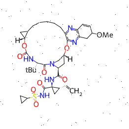 C=C[C@@H]1C[C@]1(NC(=O)[C@@H]1C[C@@H]2CN1C(=O)[C@H](C(C)(C)C)NC(=O)O[C@@H]1CC1CCCCCc1nc3c(nc1O2)CC(OC)C=C3)C(=O)NS(=O)(=O)C1CC1